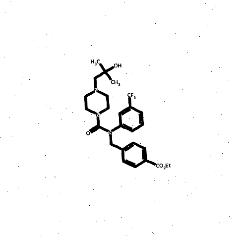 CCOC(=O)c1ccc(CN(C(=O)N2CCN(CC(C)(C)O)CC2)c2cccc(C(F)(F)F)c2)cc1